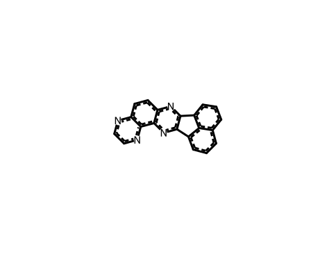 c1cc2c3c(cccc3c1)-c1nc3c(ccc4nccnc43)nc1-2